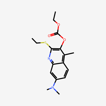 CCOC(=O)Oc1c(SCC)nc2cc(N(C)C)ccc2c1C